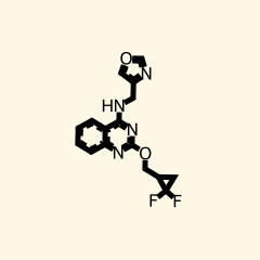 FC1(F)CC1COc1nc(NCc2cocn2)c2ccccc2n1